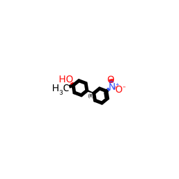 CC1(O)CCC([C@@H]2CCC=C([N+](=O)[O-])C2)CC1